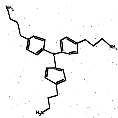 NCCCc1ccc(P(c2ccc(CCCN)cc2)c2ccc(CCCN)cc2)cc1